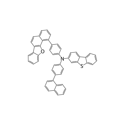 c1ccc2c(-c3ccc(N(c4ccc(-c5cccc6ccc7c8ccccc8oc7c56)cc4)c4ccc5c(c4)sc4ccccc45)cc3)cccc2c1